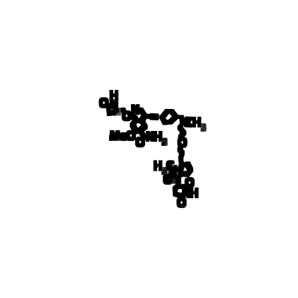 COc1cc2c(OC[C@@H]3CCC(=O)N3)ncc(C#C[C@H]3CC[C@H](CN(C)CCCOCCCc4cccc5c4n(C)c(=O)n5C4CCC(=O)NC4=O)CC3)c2cc1C(N)=O